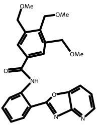 COCc1cc(C(=O)Nc2ccccc2-c2nc3ncccc3o2)cc(COC)c1COC